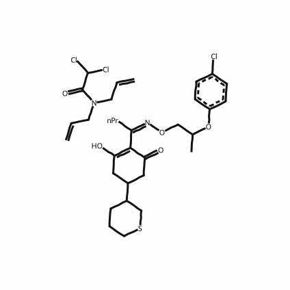 C=CCN(CC=C)C(=O)C(Cl)Cl.CCCC(=NOCC(C)Oc1ccc(Cl)cc1)C1=C(O)CC(C2CCCSC2)CC1=O